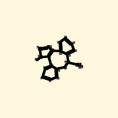 Cn1nnc2c1-c1ccccc1CN(N)c1ccccc1-2